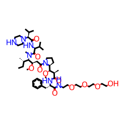 CC[C@H](C)[C@@H]([C@@H](CC(=O)N1CCC[C@H]1[C@H](OC)[C@@H](C)C(=O)N[C@@H](Cc1ccccc1)C(=O)NCCOCCOCCOCCO)OC)N(C)C(=O)[C@@H](NC(=O)[C@H](C(C)C)N1CCNCC1)C(C)C